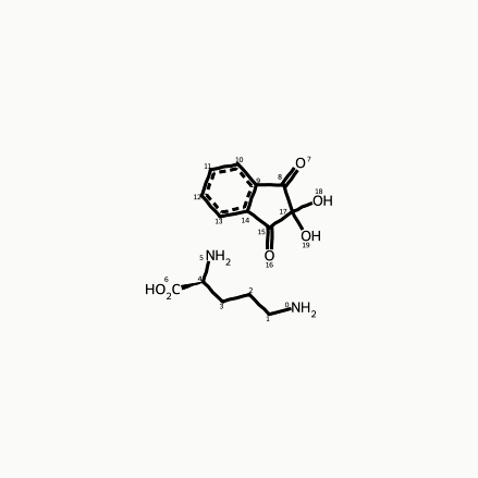 NCCC[C@H](N)C(=O)O.O=C1c2ccccc2C(=O)C1(O)O